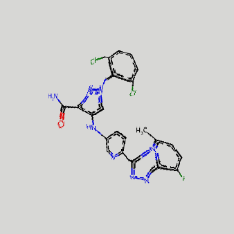 Cc1ccc(F)c2nnc(-c3ccc(Nc4cn(-c5c(Cl)cccc5Cl)nc4C(N)=O)cn3)n12